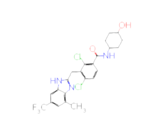 Cc1cc(C(F)(F)F)cc2[nH]c(Cc3c(Cl)ccc(C(=O)NC4CCC(O)CC4)c3Cl)nc12